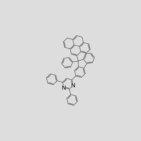 C1=Cc2cc(C3(c4ccccc4)c4ccccc4-c4ccc(-c5cc(-c6ccccc6)nc(-c6ccccc6)n5)cc43)c3cccc4c3c2C(=CC4)C1